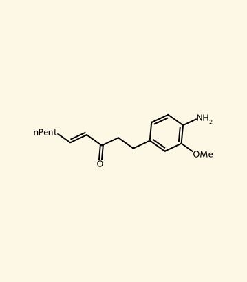 CCCCC/C=C/C(=O)CCc1ccc(N)c(OC)c1